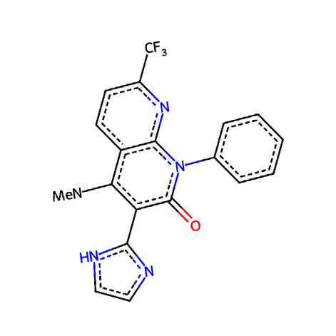 CNc1c(-c2ncc[nH]2)c(=O)n(-c2ccccc2)c2nc(C(F)(F)F)ccc12